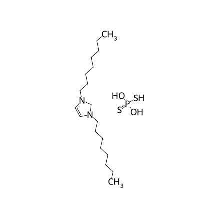 CCCCCCCCN1C=CN(CCCCCCCC)C1.OP(O)(=S)S